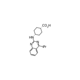 CC(C)c1nc(N[C@H]2CC[C@@H](C(=O)O)CC2)nc2ccccc12